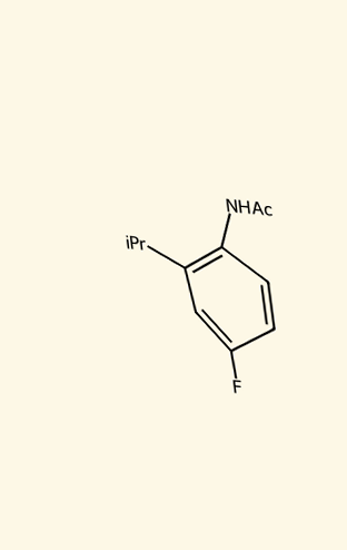 CC(=O)Nc1ccc(F)cc1C(C)C